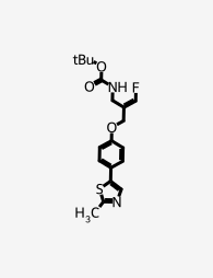 Cc1ncc(-c2ccc(OC/C(=C/F)CNC(=O)OC(C)(C)C)cc2)s1